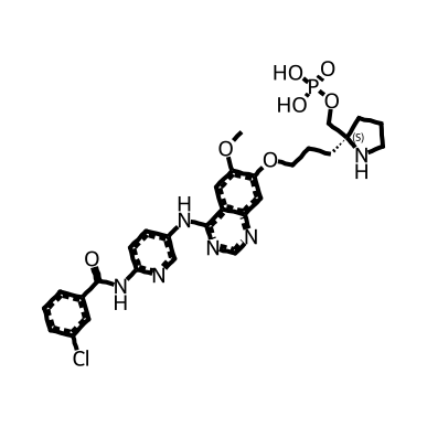 COc1cc2c(Nc3ccc(NC(=O)c4cccc(Cl)c4)nc3)ncnc2cc1OCCC[C@]1(COP(=O)(O)O)CCCN1